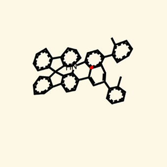 Cc1ccccc1C1=CCC(C)C(c2ccc3c(c2Nc2ccc(-c4ccccc4C)cc2)C2(c4ccccc4-c4ccccc42)c2ccccc2-3)=C1